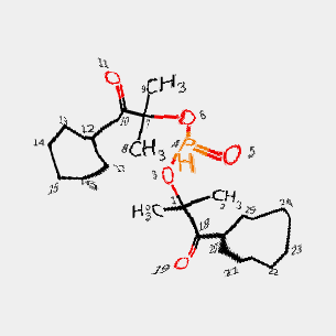 CC(C)(O[PH](=O)OC(C)(C)C(=O)C1CCCCC1)C(=O)C1CCCCC1